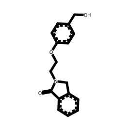 O=C1c2ccccc2CN1CCOc1ccc(CO)cc1